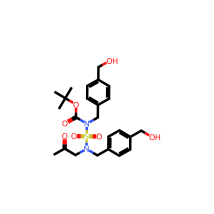 CC(=O)CN(Cc1ccc(CO)cc1)S(=O)(=O)N(Cc1ccc(CO)cc1)C(=O)OC(C)(C)C